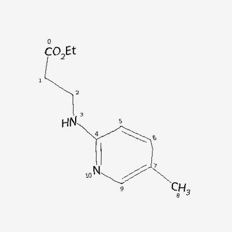 CCOC(=O)CCNc1ccc(C)cn1